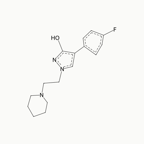 Oc1nn(CCN2CCCCC2)cc1-c1ccc(F)cc1